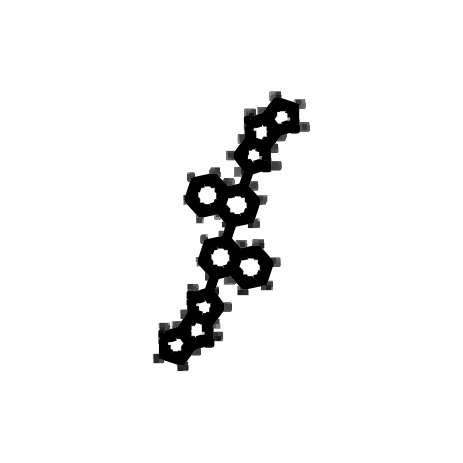 c1ccc2c(-c3ccc(-c4cc5sc6ccsc6c5s4)c4ccccc34)ccc(-c3cc4sc5ccsc5c4s3)c2c1